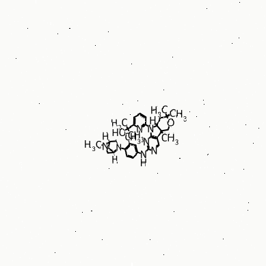 Cc1cc(Nc2ncc3c(n2)N(c2cccc(C(C)(C)O)n2)[C@@H]2CC(C)(C)OCC32C)ccc1N1C[C@H]2C[C@@H]1CN2C